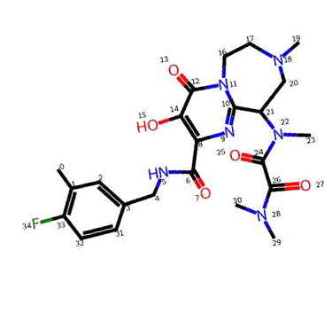 Cc1cc(CNC(=O)c2nc3n(c(=O)c2O)CCN(C)CC3N(C)C(=O)C(=O)N(C)C)ccc1F